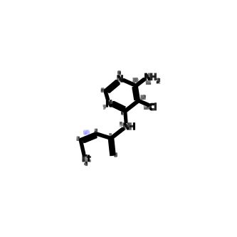 C=C(/C=C\CC)Nc1ncnc(N)c1Cl